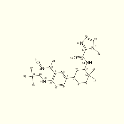 CN(N=O)c1nc(C2CCC(C)(C)C(NC(=O)c3nccn3C)C2)ccc1NCC(C)(C)C